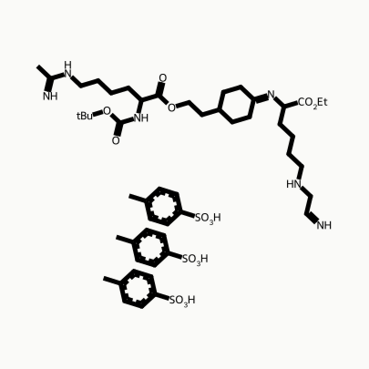 CCOC(=O)C(CCCCNCC=N)N=C1CCC(CCOC(=O)C(CCCCNC(C)=N)NC(=O)OC(C)(C)C)CC1.Cc1ccc(S(=O)(=O)O)cc1.Cc1ccc(S(=O)(=O)O)cc1.Cc1ccc(S(=O)(=O)O)cc1